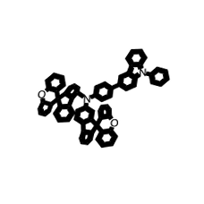 C1=CC2Oc3ccccc3C3(c4ccccc4-c4c(N(c5ccc(-c6ccc7c(c6)c6ccccc6n7-c6ccccc6)cc5)c5ccc6c(c5)C5(c7ccccc7Oc7ccccc75)c5ccccc5-6)cccc43)C2C=C1